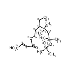 C[Si](C)(C)O[Si](C)(C)O[Si](C)(C)C(CCOC(=O)C=CC(=O)O)CC(F)(F)F